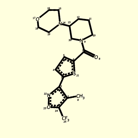 Cc1c(-c2ccc(C(=O)N3CCCC(N4CCOCC4)C3)s2)noc1C(F)(F)F